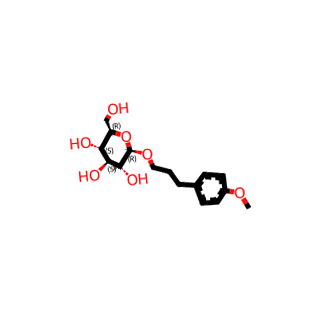 COc1ccc(CCCO[C@@H]2O[C@H](CO)[C@@H](O)[C@H](O)[C@H]2O)cc1